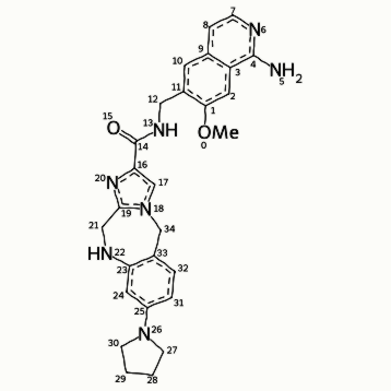 COc1cc2c(N)nccc2cc1CNC(=O)c1cn2c(n1)CNc1cc(N3CCCC3)ccc1C2